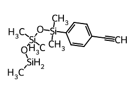 C#Cc1ccc([Si](C)(C)O[Si](C)(C)O[SiH2]C)cc1